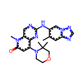 Cc1cc2ncnn2cc1Nc1ncc2c(n1)c(N1CCOCC1(C)C)cc(=O)n2C